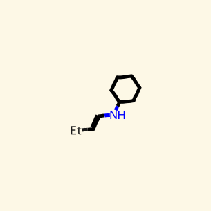 CCC=CNC1CCCCC1